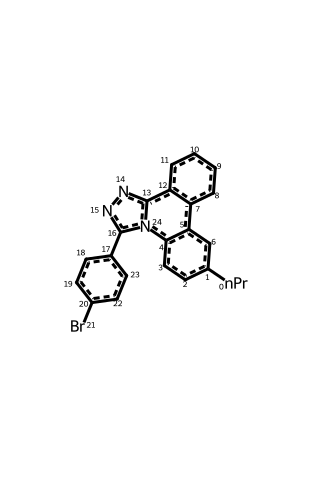 CCCc1ccc2c(c1)c1ccccc1c1nnc(-c3ccc(Br)cc3)n21